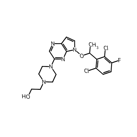 CC(On1ccc2ncc(N3CCN(CCO)CC3)nc21)c1c(Cl)ccc(F)c1Cl